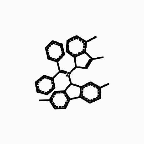 CC1=C[CH]([Zr](=[C](c2ccccc2)c2ccccc2)[CH]2c3cc(C)ccc3-c3ccc(C)cc32)c2cccc(C)c21